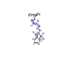 CC(C)N(c1nn(C)/c(=N\C=C\C2=[N+](C)c3ccccc3C2(C)C)s1)C(C)C